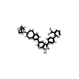 FC(F)c1cccnc1-c1ccc(-c2n[nH]c3ncc(-c4ccc5c(c4)CC[C@@H](N4C6COCC4C6)CC5)cc23)cc1